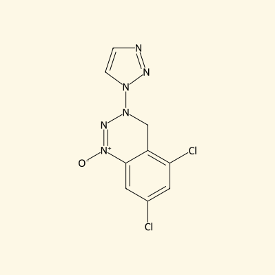 [O-][N+]1=NN(n2ccnn2)Cc2c(Cl)cc(Cl)cc21